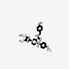 CCCc1ccc(CNC(=O)[C@H]2CN(c3nc(C)c(C(=O)O)s3)CCN2S(=O)(=O)c2ccc(OC(F)(F)F)cc2)cc1